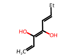 C=CC(O)=C(O)C=CCC